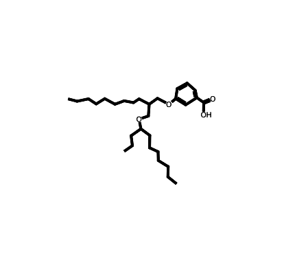 CCCCCCCCCC(COc1cccc(C(=O)O)c1)COC(CCC)CCCCCCC